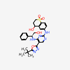 CC(C)(C)c1nnc(-c2cnc(Nc3ccc4c(c3)C(O)CCS4(=O)=O)nc2N[C@H](CO)c2ccccc2)o1